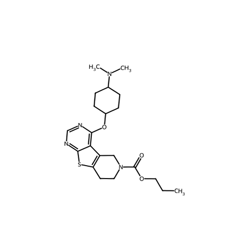 CCCOC(=O)N1CCc2sc3ncnc(OC4CCC(N(C)C)CC4)c3c2C1